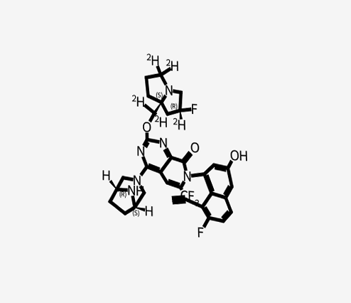 [2H]C1([2H])CC[C@@]2(C([2H])([2H])Oc3nc(N4C[C@H]5CC[C@@H](C4)N5)c4cc(C(F)(F)F)n(-c5cc(O)cc6ccc(F)c(C#C)c56)c(=O)c4n3)C[C@@]([2H])(F)CN12